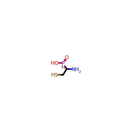 NC(CS)[PH](=O)O